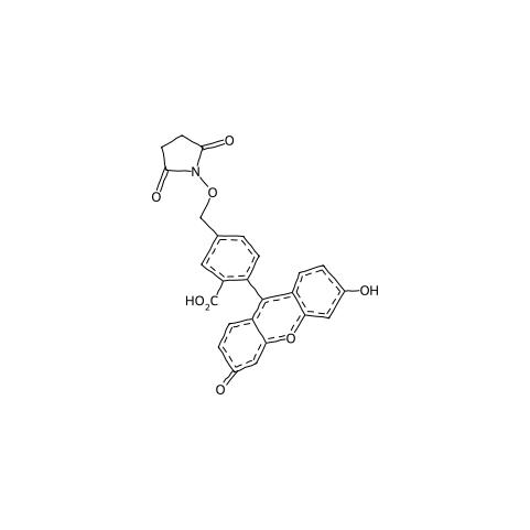 O=C(O)c1cc(CON2C(=O)CCC2=O)ccc1-c1c2ccc(=O)cc-2oc2cc(O)ccc12